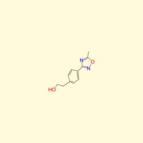 Cc1nc(-c2ccc(CCO)cc2)no1